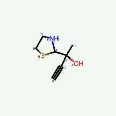 C#CC(C)(O)C1NCCS1